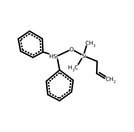 C=CC[Si](C)(C)O[SiH](c1ccccc1)c1ccccc1